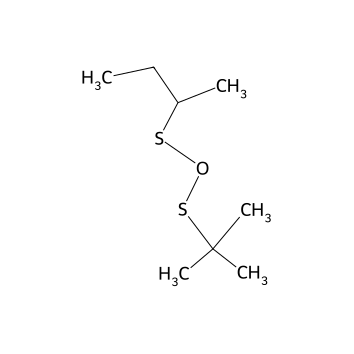 CCC(C)SOSC(C)(C)C